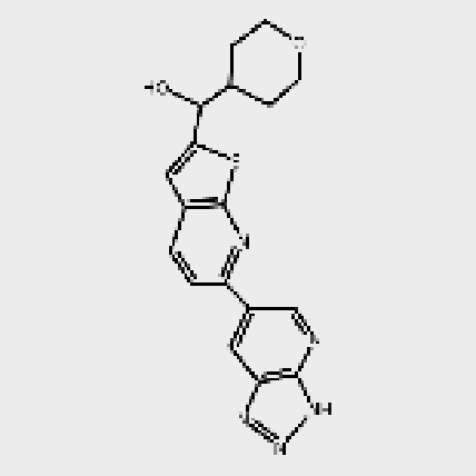 OC(c1cc2ccc(-c3cnc4[nH]nnc4c3)nc2s1)C1CCOCC1